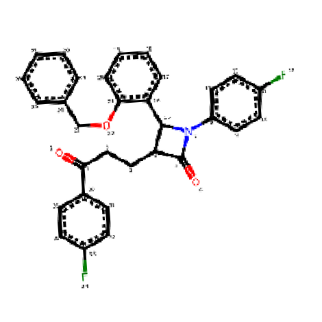 O=C(CCC1C(=O)N(c2ccc(F)cc2)C1c1ccccc1OCc1ccccc1)c1ccc(F)cc1